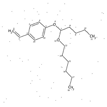 C=Cc1ccc(OC(CCCC)OCCCCCC)cc1